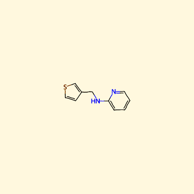 c1ccc(NCc2ccsc2)nc1